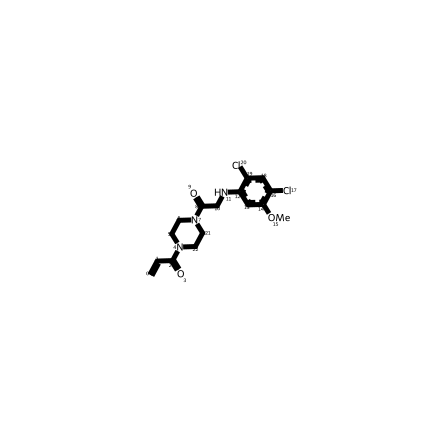 C=CC(=O)N1CCN(C(=O)CNc2cc(OC)c(Cl)cc2Cl)CC1